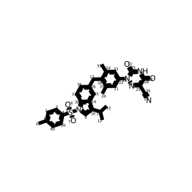 Cc1ccc(S(=O)(=O)n2cc(C(C)C)c3cc(Cc4c(C)cc(-n5nc(C#N)c(=O)[nH]c5=O)cc4C)ccc32)cc1